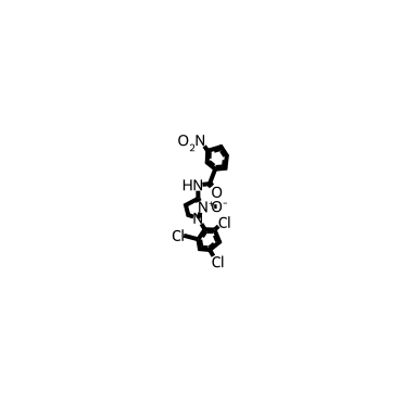 O=C(NC1=[N+]([O-])N(c2c(Cl)cc(Cl)cc2Cl)CC1)c1cccc([N+](=O)[O-])c1